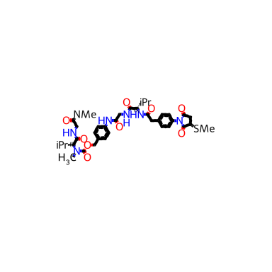 CNC(=O)CNC(=O)[C@H](C(C)C)N(C)C(=O)OCc1ccc(NC(=O)CNC(=O)[C@@H](NC(=O)Cc2ccc(N3C(=O)CC(SC)C3=O)cc2)C(C)C)cc1